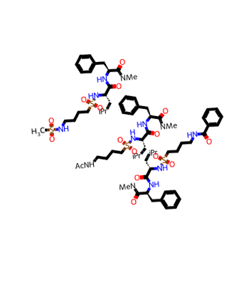 CNC(=O)[C@H](Cc1ccccc1)NC(=O)[C@H](CC(C)C)NS(=O)(=O)CCCCNC(=O)c1ccccc1.CNC(=O)[C@H](Cc1ccccc1)NC(=O)[C@H](CC(C)C)NS(=O)(=O)CCCCNC(C)=O.CNC(=O)[C@H](Cc1ccccc1)NC(=O)[C@H](CC(C)C)NS(=O)(=O)CCCCNS(C)(=O)=O